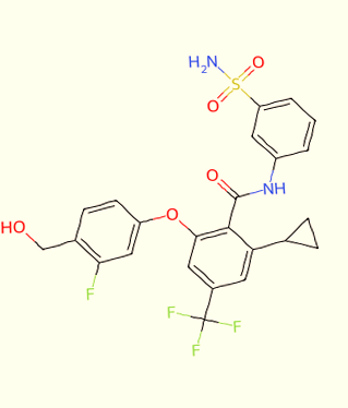 NS(=O)(=O)c1cccc(NC(=O)c2c(Oc3ccc(CO)c(F)c3)cc(C(F)(F)F)cc2C2CC2)c1